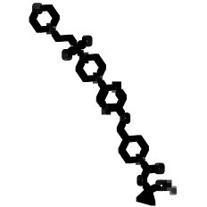 CC1(OC(=O)N2CCC(COc3cnc(N4CCN(S(=O)(=O)CCN5CCOCC5)CC4)cn3)CC2)CC1